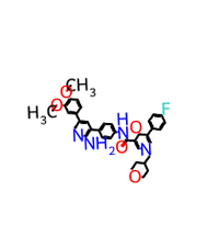 COc1ccc(-c2cnc(N)c(-c3ccc(NC(=O)c4cn(CC5CCOCC5)cc(-c5ccc(F)cc5)c4=O)cc3)c2)cc1OC